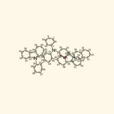 c1ccc(N(c2ccc(-c3ccc4ccccc4c3)cc2)c2ccc(-c3ccccc3-n3c4ccccc4c4ccccc43)cc2-c2ccc3c(c2)sc2ccccc23)cc1